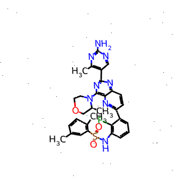 Cc1ccc(C)c(S(=O)(=O)Nc2cccc(-c3ccc4nc(-c5cnc(N)nc5C)nc(N5CCOC[C@@H]5C)c4n3)c2F)c1